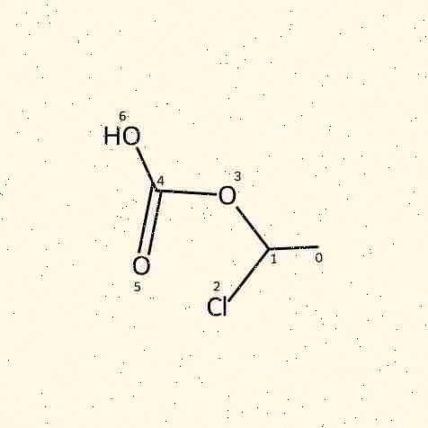 CC(Cl)OC(=O)O